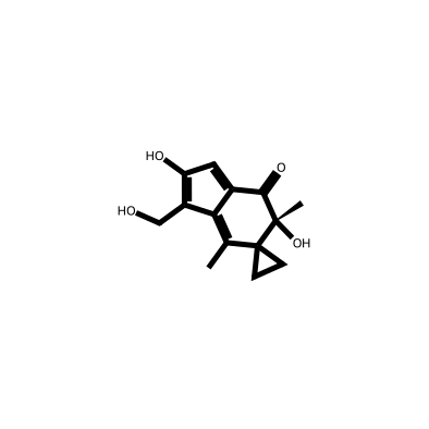 CC1=C2C(=CC(O)=C2CO)C(=O)[C@](C)(O)C12CC2